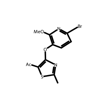 COc1nc(Br)ccc1Oc1nc(C)sc1C(C)=O